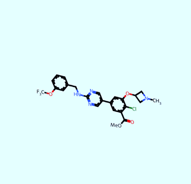 COC(=O)c1cc(-c2cnc(NCc3cccc(OC(F)(F)F)c3)nc2)cc(OC2CN(C)C2)c1Cl